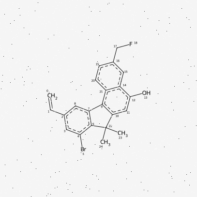 C=Cc1cc(Br)c2c(c1)-c1c(cc(O)c3cc(CF)ccc13)C2(C)C